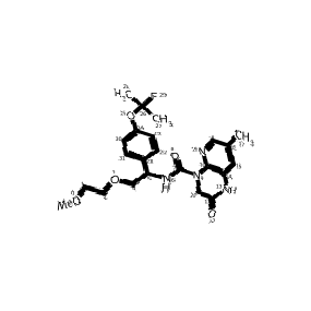 COCCOCC(NC(=O)N1CC(=O)Nc2cc(C)cnc21)c1ccc(OC(C)(C)F)cc1